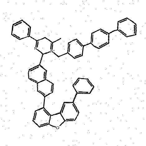 CC1=[N+](Cc2ccc(-c3ccc(-c4ccccc4)cc3)cc2)C(c2ccc3cc(-c4cccc5oc6ccc(-c7ccccc7)cc6c45)ccc3c2)N=C(c2ccccc2)C1